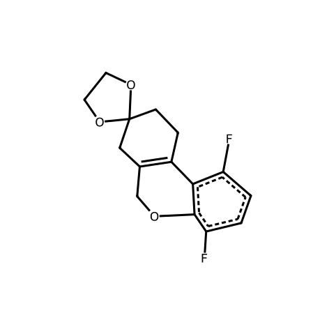 Fc1ccc(F)c2c1OCC1=C2CCC2(C1)OCCO2